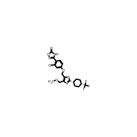 COCc1nc([C@H]2CC[C@@H](C(F)(F)F)CC2)oc1COc1ccc(-c2noc(=O)[nH]2)c(Cl)c1